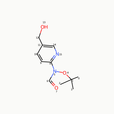 CC(C)(C)ON(C=O)c1ccc(CO)cn1